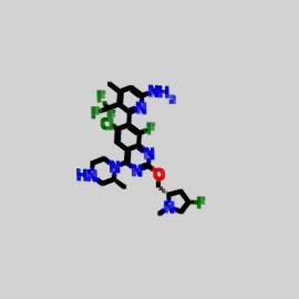 Cc1cc(N)nc(-c2c(Cl)cc3c(N4CCNC[C@@H]4C)nc(OC[C@@H]4C[C@@H](F)CN4C)nc3c2F)c1C(F)(F)F